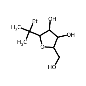 CCC(C)(C)C1OC(CO)C(O)C1O